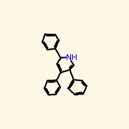 C1=C(c2ccccc2)C(c2ccccc2)=C[C](c2ccccc2)N1